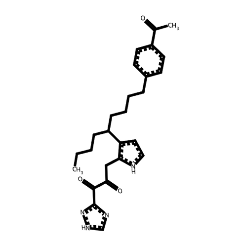 CCCCC(CCCCc1ccc(C(C)=O)cc1)c1cc[nH]c1CC(=O)C(=O)c1nc[nH]n1